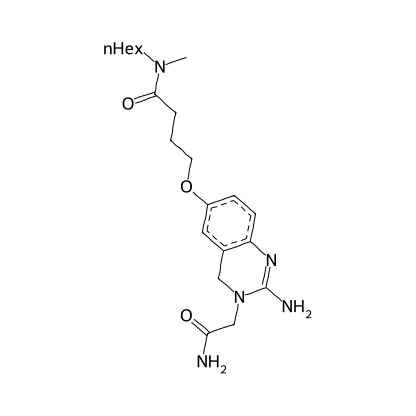 CCCCCCN(C)C(=O)CCCOc1ccc2c(c1)CN(CC(N)=O)C(N)=N2